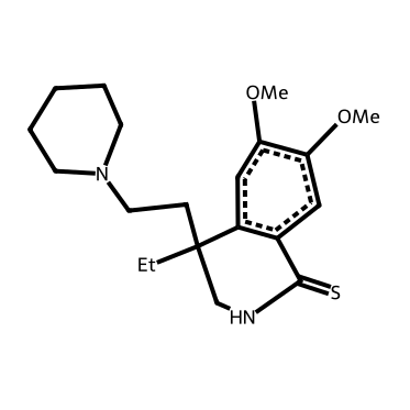 CCC1(CCN2CCCCC2)CNC(=S)c2cc(OC)c(OC)cc21